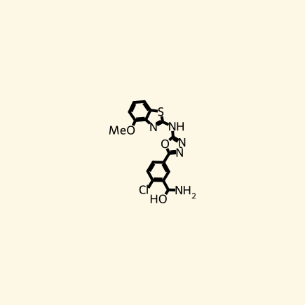 COc1cccc2sc(Nc3nnc(-c4ccc(Cl)c(C(N)O)c4)o3)nc12